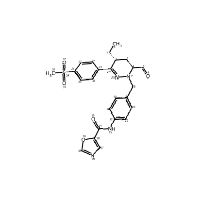 CC[C@@H]1CC(C=O)N(Cc2ccc(NC(=O)c3cnco3)cc2)N=C1c1ccc(S(C)(=O)=O)cc1